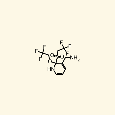 NCC1=CC=CNC1(OCC(F)(F)F)S(=O)(=O)CC(F)(F)F